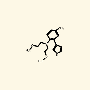 COCCN(CCOC)c1ccc(N)cc1-c1cc[nH]c1